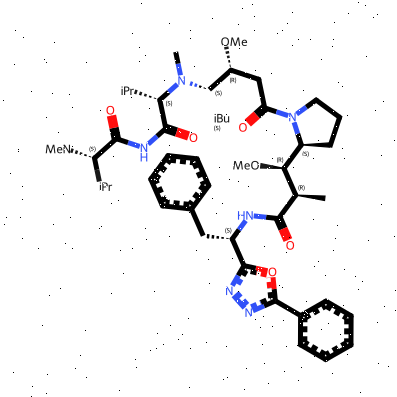 CC[C@H](C)[C@@H]([C@@H](CC(=O)N1CCC[C@H]1[C@H](OC)[C@@H](C)C(=O)N[C@@H](Cc1ccccc1)c1nnc(-c2ccccc2)o1)OC)N(C)[C@H](C(=O)NC(=O)[C@@H](NC)C(C)C)C(C)C